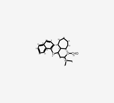 CN(C)C(CC(Oc1cccc2ccccc12)C1CCCCCC1)OC=O